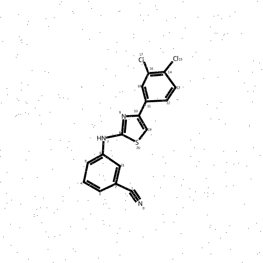 N#Cc1cccc(Nc2nc(-c3ccc(Cl)c(Cl)c3)cs2)c1